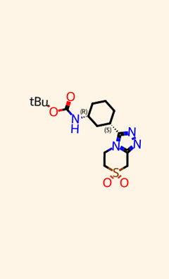 CC(C)(C)OC(=O)N[C@@H]1CCC[C@H](c2nnc3n2CCS(=O)(=O)C3)C1